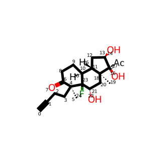 C#CCC[C@@]1(C)C(=O)CC[C@H]2[C@@H]3C[C@@H](O)[C@](O)(C(C)=O)[C@@]3(C)C[C@H](O)C21F